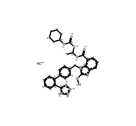 CCOc1nc2cccc(C(=O)OC(C)OC(=O)OC3CCCCC3)c2n1Cc1ccc(-c2ccccc2-c2nnn[nH]2)cc1.Cl